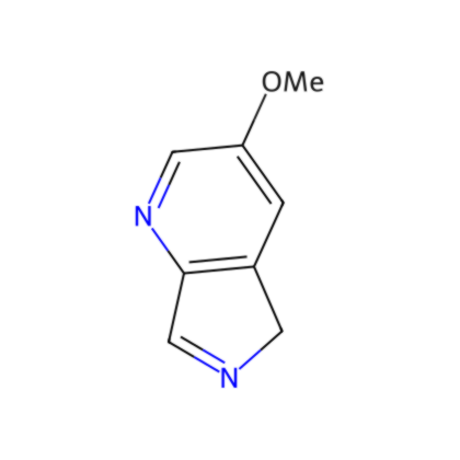 COc1cnc2c(c1)CN=C2